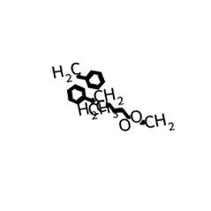 C=C(C)c1ccccc1.C=CC=CC(=O)OC=C.C=Cc1ccccc1